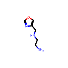 NCCNCc1cocn1